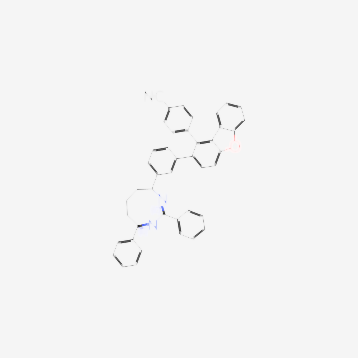 N#Cc1ccc(-c2c(-c3cccc(C4CCC/C(c5ccccc5)=N\C(c5ccccc5)=N/4)c3)ccc3oc4ccccc4c23)cc1